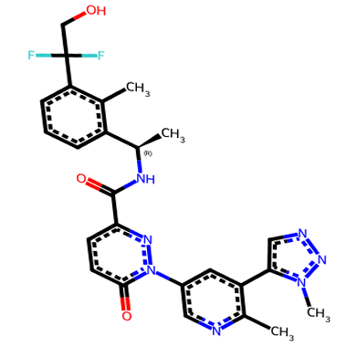 Cc1ncc(-n2nc(C(=O)N[C@H](C)c3cccc(C(F)(F)CO)c3C)ccc2=O)cc1-c1cnnn1C